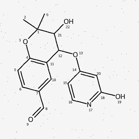 CC1(C)Oc2ccc(C=O)cc2C(Oc2ccnc(O)c2)C1O